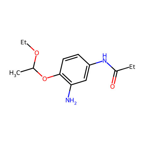 CCOC(C)Oc1ccc(NC(=O)CC)cc1N